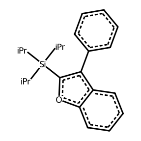 CC(C)[Si](c1oc2ccccc2c1-c1ccccc1)(C(C)C)C(C)C